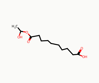 CC(O)OC(=O)CCCCCCCCC(=O)O